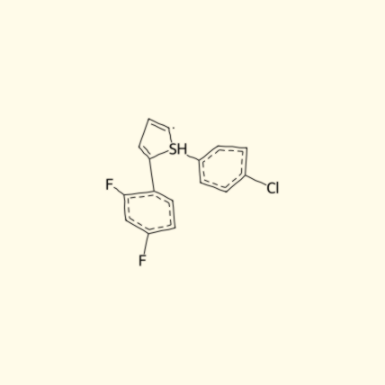 Fc1ccc(C2=CC=[C][SH]2c2ccc(Cl)cc2)c(F)c1